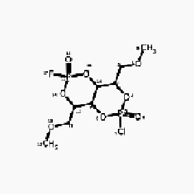 COCC1OP(=O)(Cl)OC2C(COC)OP(=O)(F)OC12